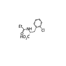 CCC(=O)N[C@H](Cc1ccccc1Cl)C(=O)O